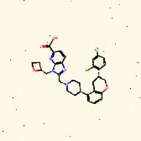 O=C(O)c1ccc2nc(CN3CCC(c4cccc5c4CC(c4ccc(Cl)cc4F)CO5)CC3)n(CC3CCO3)c2n1